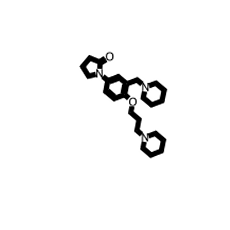 O=C1CCCN1c1ccc(OCCCN2CCCCC2)c(CN2CCCCC2)c1